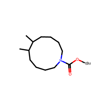 CC1CCCCN(C(=O)OC(C)(C)C)CCCCC1C